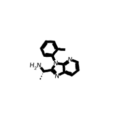 Cc1ccccc1-n1c([C@H](C)N)nc2cccnc21